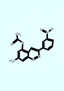 CC(=O)Oc1cc(C)cc2nnc(-c3cccc([N+](=O)[O-])c3)cc12